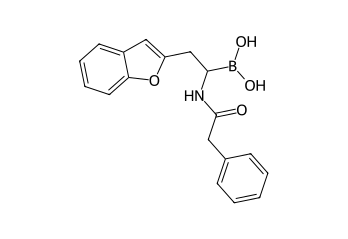 O=C(Cc1ccccc1)NC(Cc1cc2ccccc2o1)B(O)O